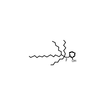 CCCCCCCCCCCCC(CCCCCC)C(CCCCCC)(CCCCCC)P(F)c1ccccc1O